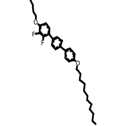 CCCCCCCCCCCCOc1ccc(-c2ccc(-c3ccc(OCCCC)c(F)c3F)cc2)cc1